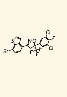 Fc1c(Cl)cc(C2(C(F)(F)F)CC(c3ccc(Br)c4sccc34)=NO2)cc1Cl